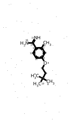 Cc1cc(OCCC(C)(C)C)ccc1C(=N)N